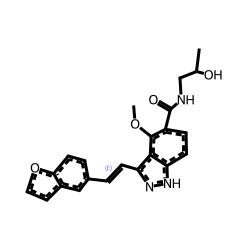 COc1c(C(=O)NCC(C)O)ccc2[nH]nc(/C=C/c3ccc4occc4c3)c12